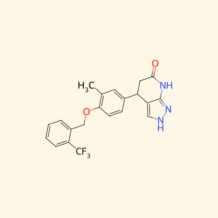 Cc1cc(C2CC(=O)Nc3n[nH]cc32)ccc1OCc1ccccc1C(F)(F)F